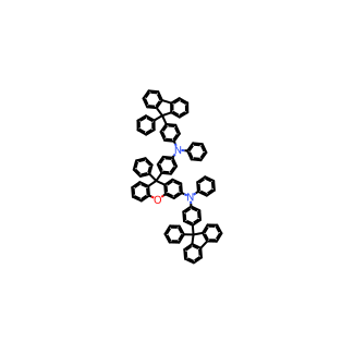 c1ccc(N(c2ccc(C3(c4ccccc4)c4ccccc4Oc4cc(N(c5ccccc5)c5ccc(C6(c7ccccc7)c7ccccc7-c7ccccc76)cc5)ccc43)cc2)c2ccc(C3(c4ccccc4)c4ccccc4-c4ccccc43)cc2)cc1